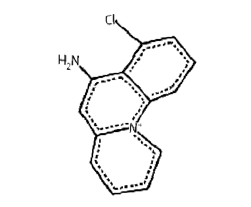 Nc1cc2cccc[n+]2c2cccc(Cl)c12